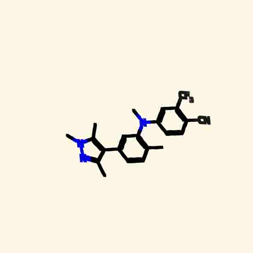 Cc1ccc(-c2c(C)nn(C)c2C)cc1N(C)c1ccc(C#N)c(C(F)(F)F)c1